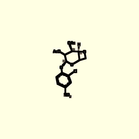 CC(=O)OC1[C@H](Oc2ccc([N+](=O)[O-])cc2Cl)OC2CO[C@@H]2[C@@H]1OC(C)=O